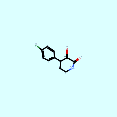 O=C1NCCC(c2ccc(Cl)cc2)C1=O